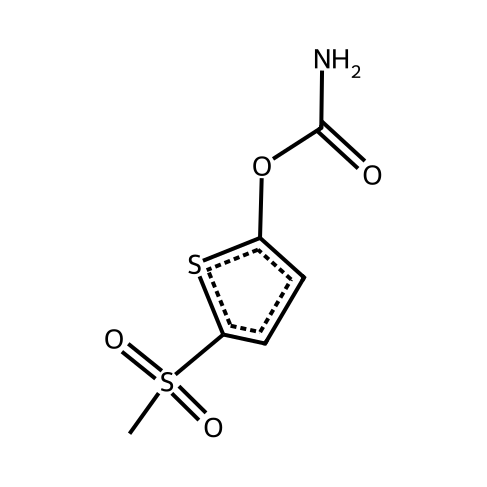 CS(=O)(=O)c1ccc(OC(N)=O)s1